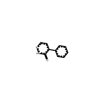 O=c1[nH]nccc1-c1[c]cccc1